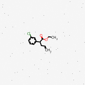 C=CCC(C(=O)OCC)c1cccc(Cl)c1